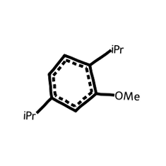 [CH2]C(C)c1ccc(C(C)C)c(OC)c1